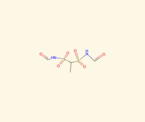 C[C](S(=O)(=O)NC=O)S(=O)(=O)NC=O